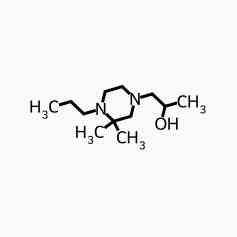 CCCN1CCN(CC(C)O)CC1(C)C